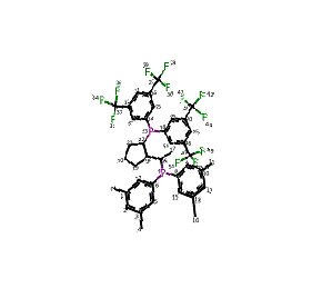 Cc1cc(C)cc(P(c2cc(C)cc(C)c2)C(C)C2CCCC2P(c2cc(C(F)(F)F)cc(C(F)(F)F)c2)c2cc(C(F)(F)F)cc(C(F)(F)F)c2)c1